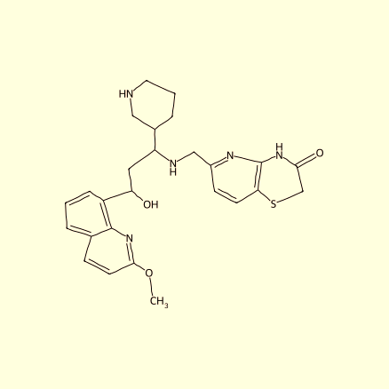 COc1ccc2cccc(C(O)CC(NCc3ccc4c(n3)NC(=O)CS4)C3CCCNC3)c2n1